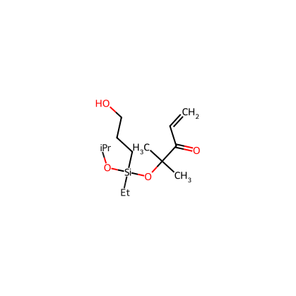 C=CC(=O)C(C)(C)O[Si](CC)(CCCO)OC(C)C